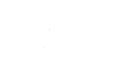 COC(=O)c1cc(-c2ncc(F)cc2OCc2cc(F)cc(SC)c2)n(C)c1